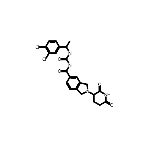 CC(NC(=O)NC(=O)c1ccc2c(c1)CN(C1CCC(=O)NC1=O)C2)c1ccc(Cl)c(Cl)c1